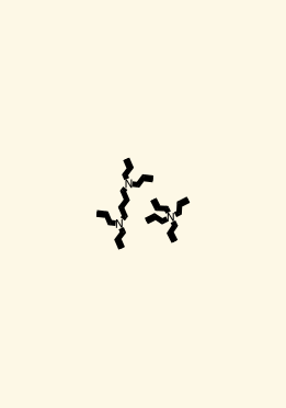 C=CCN(CC=C)CCCCN(CC=C)CC=C.C=CC[N+](CC=C)(CC=C)CC=C